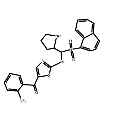 O=C(c1cnc(NC(C2CCCN2)S(=O)(=O)c2cccc3ccccc23)s1)c1ccccc1C(F)(F)F